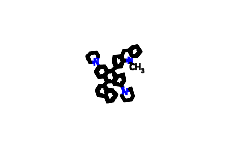 CN1c2ccccc2Cc2ccc(-c3c4cc(N5CCCCC5)ccc4c(-c4cccc5ccccc45)c4cc(N5CCCCC5)ccc34)cc21